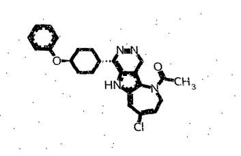 CC(=O)N1CC=C(Cl)C=c2[nH]c3c(c21)CN=NC=3[C@H]1CC[C@H](Oc2ccccc2)CC1